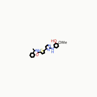 COc1ccc(Nc2nccc(-c3ccc(C(=O)NC(C)c4ccccc4)s3)n2)cc1O